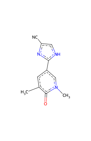 Cc1cc(-c2nc(C#N)c[nH]2)cn(C)c1=O